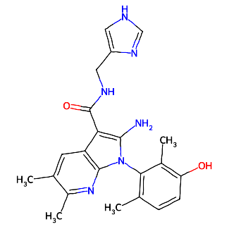 Cc1cc2c(C(=O)NCc3c[nH]cn3)c(N)n(-c3c(C)ccc(O)c3C)c2nc1C